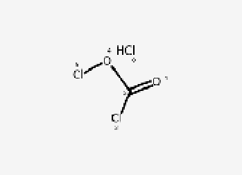 Cl.O=C(Cl)OCl